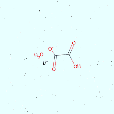 O.O=C([O-])C(=O)O.[Li+]